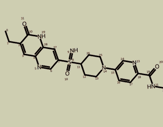 CCc1cc2ncc(S(=N)(=O)C3CCN(c4ccc(C(=O)NC)nc4)CC3)cc2[nH]c1=O